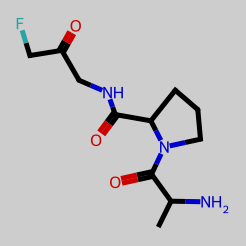 CC(N)C(=O)N1CCCC1C(=O)NCC(=O)CF